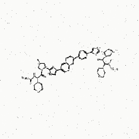 COC(=O)NC(C(=O)N1C[C@@H](C)C[C@H]1c1nc(-c2ccc3cc(-c4ccc(-c5c[nH]c([C@@H]6C[C@H](C)CN6C(=O)C(C6CCOCC6)N(C)C(=O)O)n5)cc4)ccc3c2)c[nH]1)C1CCOCC1